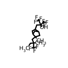 CCC(C)(CC1(C)CC2CC1CC2CC(O)(C(F)(F)F)C(F)(F)F)C(F)(F)F